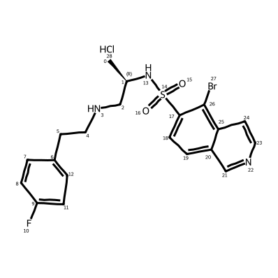 C[C@H](CNCCc1ccc(F)cc1)NS(=O)(=O)c1ccc2cnccc2c1Br.Cl